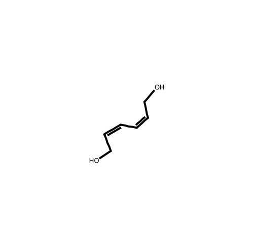 OC/C=C\C=C/CO